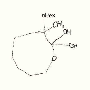 CCCCCCC1(C)CCCCCCOC1(O)O